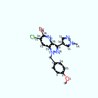 COc1ccc(Cn2nc(-c3cnn(C)c3)c3nc(Br)c(Cl)cc32)cc1